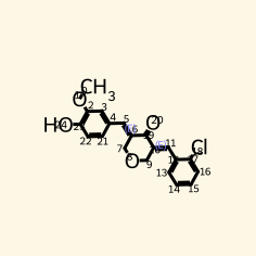 COc1cc(/C=C2\COC/C(=C\c3ccccc3Cl)C2=O)ccc1O